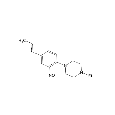 C/C=C/c1ccc(N2CCN(CC)CC2)c(N=O)c1